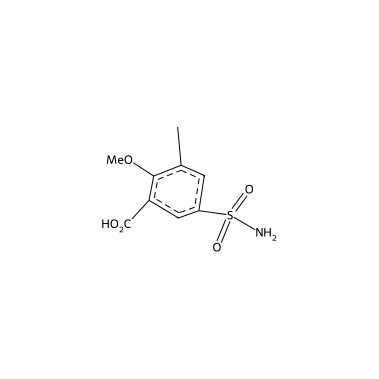 COc1c(C)cc(S(N)(=O)=O)cc1C(=O)O